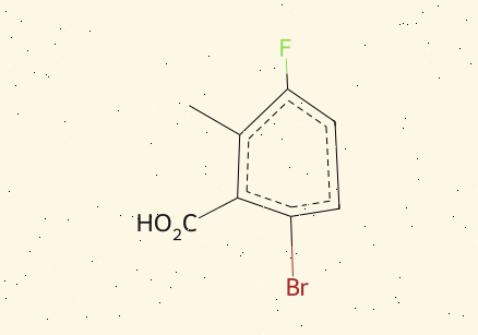 Cc1c(F)ccc(Br)c1C(=O)O